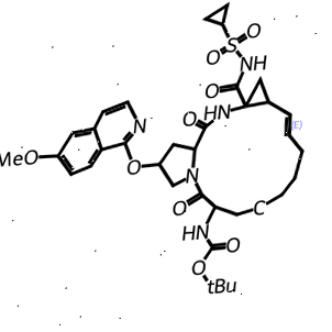 COc1ccc2c(OC3CC4C(=O)NC5(C(=O)NS(=O)(=O)C6CC6)CC5/C=C/CCCCCC(NC(=O)OC(C)(C)C)C(=O)N4C3)nccc2c1